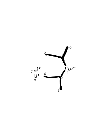 C[CH](C)[Cu-2][CH](C)C.[Li+].[Li+]